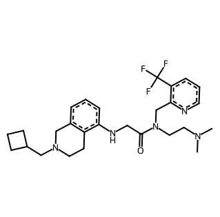 CN(C)CCN(Cc1ncccc1C(F)(F)F)C(=O)CNc1cccc2c1CCN(CC1CCC1)C2